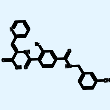 O=C(O)/C(=C/c1ccccn1)NC(=O)c1ccc(C(=O)NCc2cccc(O)c2)cc1Br